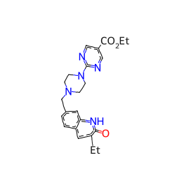 CCOC(=O)c1cnc(N2CCN(Cc3ccc4cc(CC)c(=O)[nH]c4c3)CC2)nc1